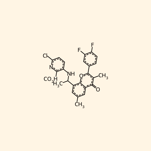 Cc1cc(C(C)Nc2ccc(Cl)nc2C(=O)O)c2oc(-c3ccc(F)c(F)c3)c(C)c(=O)c2c1